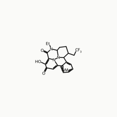 CCN1C(=O)c2c(O)c(=O)cc(COC)n2N2C(c3ccccc3)C(CC(F)(F)F)CCC12